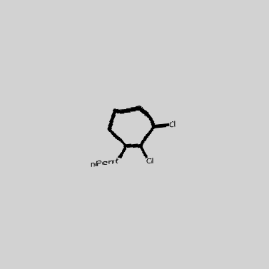 CCCCCC1CCCC(Cl)C1Cl